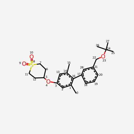 Cc1cc(OC2CCS(=O)(=O)CC2)cc(C)c1-c1cccc(COC(C)(C)C)c1